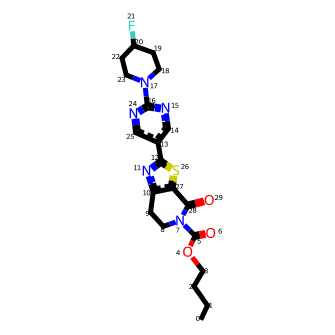 CCCCOC(=O)N1CCc2nc(-c3cnc(N4CCC(F)CC4)nc3)sc2C1=O